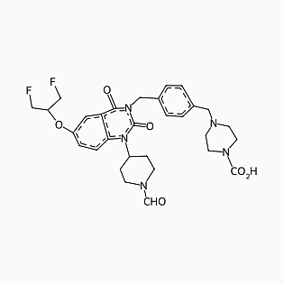 O=CN1CCC(n2c(=O)n(Cc3ccc(CN4CCN(C(=O)O)CC4)cc3)c(=O)c3cc(OC(CF)CF)ccc32)CC1